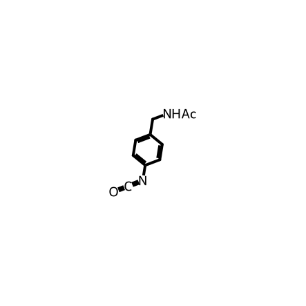 CC(=O)NCc1ccc(N=C=O)cc1